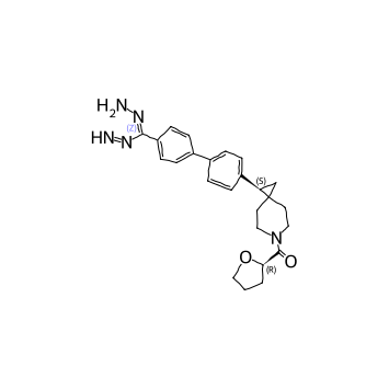 N=N/C(=N\N)c1ccc(-c2ccc([C@H]3CC34CCN(C(=O)[C@H]3CCCO3)CC4)cc2)cc1